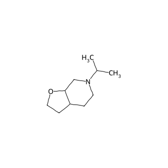 CC(C)N1CCC2CCOC2C1